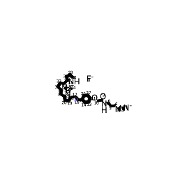 [F-].[N-]=[N+]=NCCCNC(=O)COc1ccc(/C=C/c2ccc3n2B(F)[N+]2=C(c4ccc[nH]4)C=CC2=C3)cc1